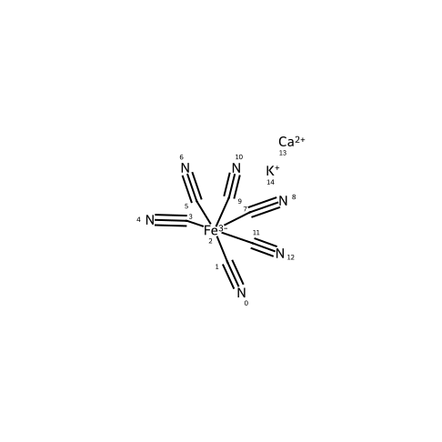 N#[C][Fe-3]([C]#N)([C]#N)([C]#N)([C]#N)[C]#N.[Ca+2].[K+]